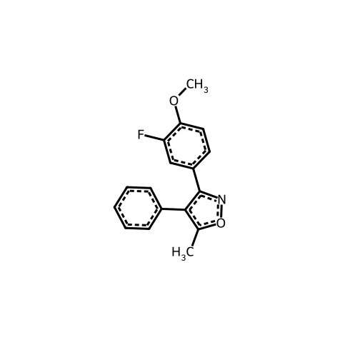 COc1ccc(-c2noc(C)c2-c2ccccc2)cc1F